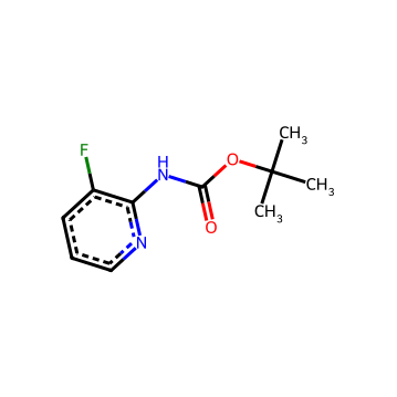 CC(C)(C)OC(=O)Nc1ncccc1F